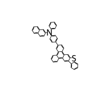 c1ccc(N(c2ccc(-c3ccc4c(c3)c3ccccc3c3cc5c(cc43)sc3ccccc35)cc2)c2ccc3ccccc3c2)cc1